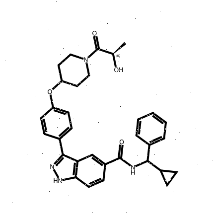 C[C@@H](O)C(=O)N1CCC(Oc2ccc(-c3n[nH]c4ccc(C(=O)NC(c5ccccc5)C5CC5)cc34)cc2)CC1